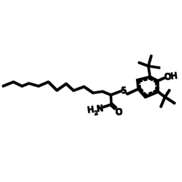 CCCCCCCCCCCCC(SCc1cc(C(C)(C)C)c(O)c(C(C)(C)C)c1)C(N)=O